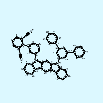 N#Cc1cccc(C#N)c1-c1cccc(-n2c3ccccc3c3cc4c5ccccc5n(-c5cc(-c6ccccc6)cc(-c6ccccc6)c5)c4cc32)c1